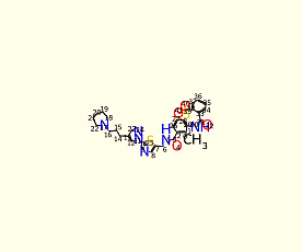 Cc1c(C(=O)NCc2cnc(-n3cc(CCCN4CCCCC4)cn3)s2)ccc2c1NC(=O)c1ccccc1S2(=O)=O